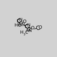 Cn1nc(OCC2CCOCC2)c2ncc(NC(=O)c3ncccc3O)cc21